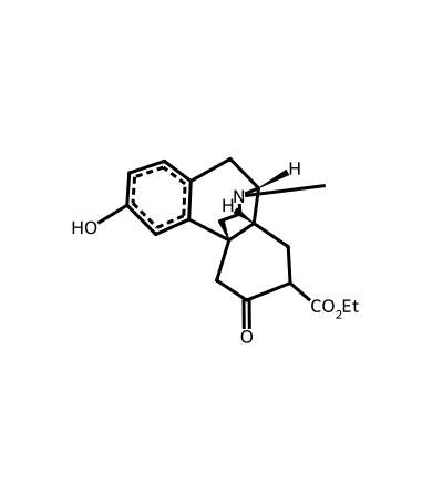 CCOC(=O)C1C[C@H]2[C@H]3Cc4ccc(O)cc4[C@@]2(CCN3C)CC1=O